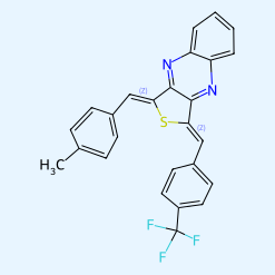 Cc1ccc(/C=c2\s/c(=C\c3ccc(C(F)(F)F)cc3)c3nc4ccccc4nc23)cc1